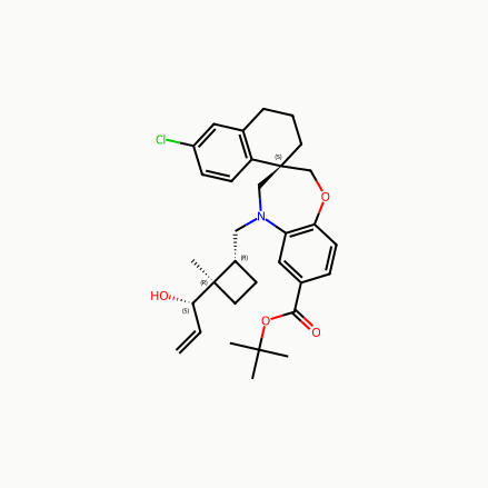 C=C[C@H](O)[C@]1(C)CC[C@H]1CN1C[C@@]2(CCCc3cc(Cl)ccc32)COc2ccc(C(=O)OC(C)(C)C)cc21